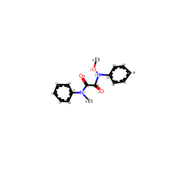 CCON(C(=O)C(=O)N(CC)c1ccccc1)c1ccccc1